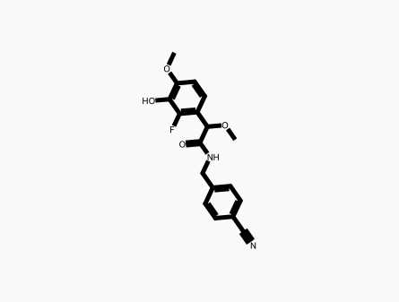 COc1ccc(C(OC)C(=O)NCc2ccc(C#N)cc2)c(F)c1O